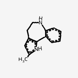 Cc1cc2c([nH]1)-c1ccccc1NCC2